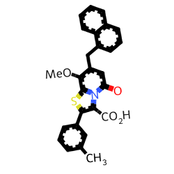 COc1c(Cc2cccc3ccccc23)cc(=O)n2c(C(=O)O)c(-c3cccc(C)c3)sc12